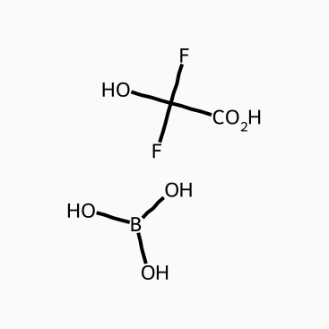 O=C(O)C(O)(F)F.OB(O)O